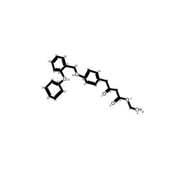 CCOC(=O)CC(=O)Cc1ccc(OCc2ccccc2Oc2ccccc2)cc1